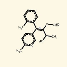 Cc1ccc(/C(=C(/OC=O)C(C)O)c2ccccc2C)cn1